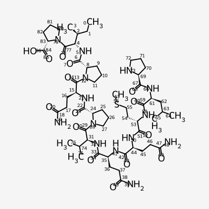 CC[C@H](C)[C@H](NC(=O)[C@@H]1CCCN1C(=O)[C@H](CCC(N)=O)NC(=O)[C@@H]1CCCN1C(=O)[C@@H](NC(=O)[C@H](CCC(N)=O)NC(=O)[C@H](CCC(N)=O)NC(=O)[C@H](CCSC)NC(=O)[C@H](CC(C)C)NC(=O)[C@@H]1CCCN1)C(C)C)C(=O)N1CCC[C@H]1C(=O)O